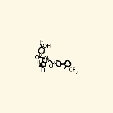 Cc1c(C2CCN(C(=O)Cn3nc(C(=O)N4CCC(O)(CF)CC4)c4c3C[C@H]3C[C@@H]43)CC2)cccc1C(F)(F)F